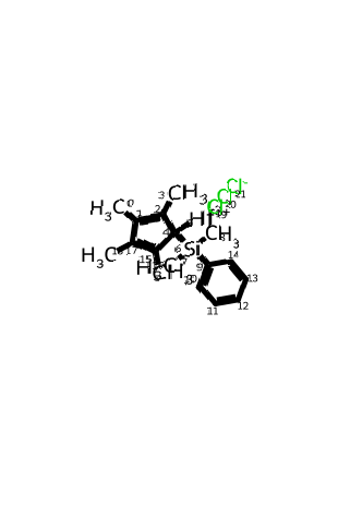 CC1=C(C)[C]([Hf+3])([Si](C)(C)c2ccccc2)C(C)=C1C.[Cl-].[Cl-].[Cl-]